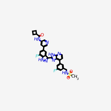 CS(=O)(=O)NCc1cc(F)cc(-c2ccnc3[nH]c(-c4n[nH]c5c(F)cc(-c6cncc(NC(=O)C7CCC7)c6)cc45)nc23)c1